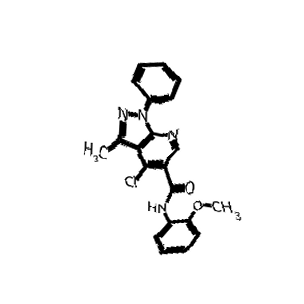 COc1ccccc1NC(=O)c1cnc2c(c(C)nn2-c2ccccc2)c1Cl